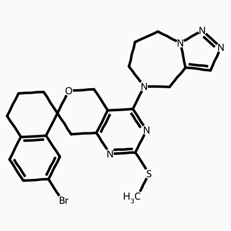 CSc1nc2c(c(N3CCCn4nncc4C3)n1)COC1(CCCc3ccc(Br)cc31)C2